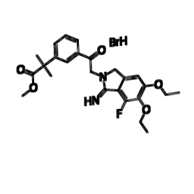 Br.CCOc1cc2c(c(F)c1OCC)C(=N)N(CC(=O)c1cccc(C(C)(C)C(=O)OC)c1)C2